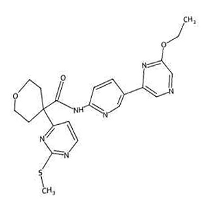 CCOc1cncc(-c2ccc(NC(=O)C3(c4ccnc(SC)n4)CCOCC3)nc2)n1